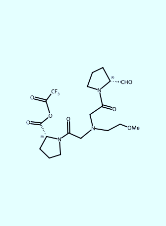 COCCN(CC(=O)N1CCC[C@@H]1C(=O)OC(=O)C(F)(F)F)CC(=O)N1CCC[C@@H]1C=O